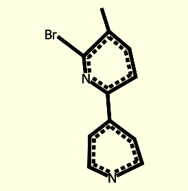 Cc1ccc(-c2ccncc2)nc1Br